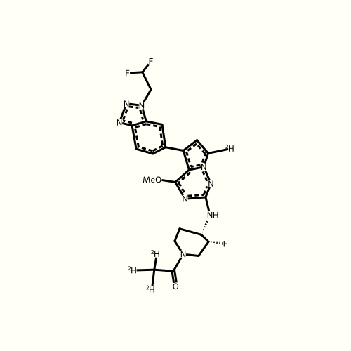 [2H]c1cc(-c2ccc3nnn(CC(F)F)c3c2)c2c(OC)nc(N[C@H]3CCN(C(=O)C([2H])([2H])[2H])C[C@H]3F)nn12